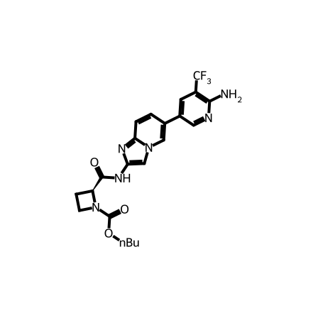 CCCCOC(=O)N1CC[C@H]1C(=O)Nc1cn2cc(-c3cnc(N)c(C(F)(F)F)c3)ccc2n1